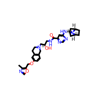 CC(=O)N1[C@@H]2CC[C@H]1C[C@H](Nc1cc(C(=O)NC[C@H](O)CN3CCc4cc(OCc5ocnc5C)ccc4C3)ncn1)C2